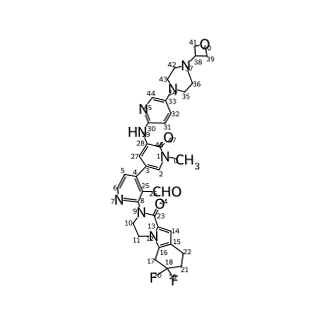 Cn1cc(-c2ccnc(N3CCn4c(cc5c4CC(F)(F)CC5)C3=O)c2C=O)cc(Nc2ccc(N3CCN(C4COC4)CC3)cn2)c1=O